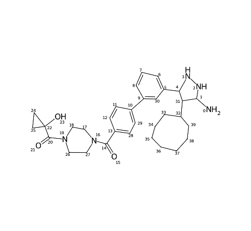 NC1NNC(c2cccc(-c3ccc(C(=O)N4CCN(C(=O)C5(O)CC5)CC4)cc3)c2)C1C1CCCCCCC1